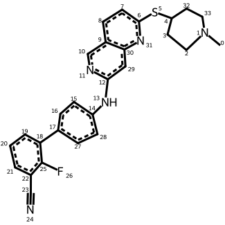 CN1CCC(Sc2ccc3cnc(Nc4ccc(-c5cccc(C#N)c5F)cc4)cc3n2)CC1